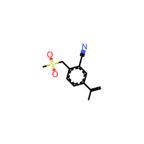 C=C(C)c1ccc(CS(C)(=O)=O)c(C#N)c1